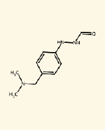 CN(C)Cc1ccc(NNC=O)cc1